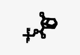 CC(F)(F)COC(=O)C1C2CC3CC(C2)C(=O)C1C3